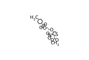 COC(=O)c1scc(OCCOS(=O)(=O)c2ccc(C)cc2)c1[N+](=O)[O-]